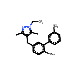 COc1ccc(Cc2c(C)nn(CC(F)(F)F)c2C)cc1-c1cccc([N+](=O)[O-])c1